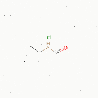 CC(C)[SH](Cl)C=O